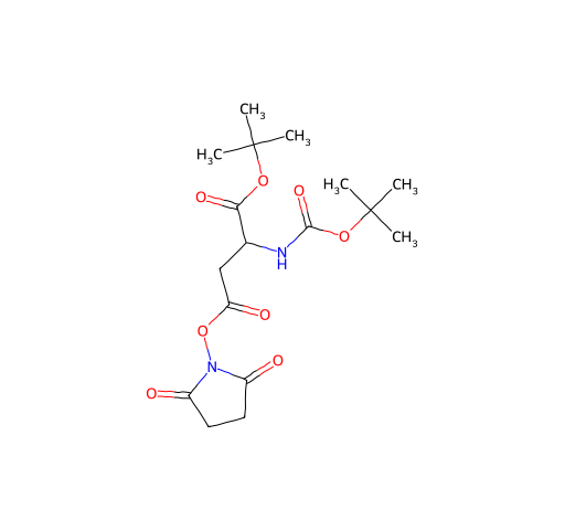 CC(C)(C)OC(=O)NC(CC(=O)ON1C(=O)CCC1=O)C(=O)OC(C)(C)C